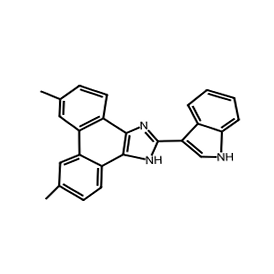 Cc1ccc2c(c1)c1cc(C)ccc1c1[nH]c(-c3c[nH]c4ccccc34)nc21